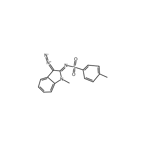 Cc1ccc(S(=O)(=O)N=C2C(=[N+]=[N-])c3ccccc3N2C)cc1